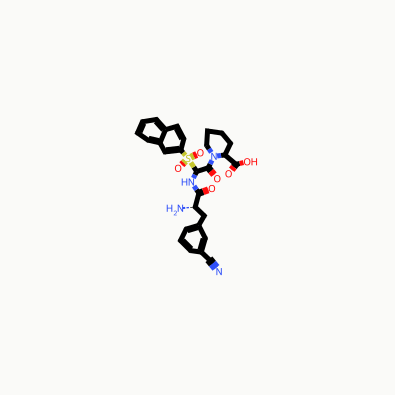 N#Cc1cccc(C[C@H](N)C(=O)NC(C(=O)N2CCCCC2C(=O)O)S(=O)(=O)c2ccc3ccccc3c2)c1